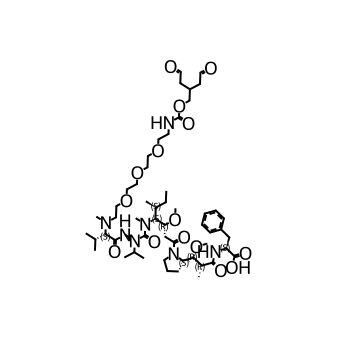 CC[C@H](C)[C@@H]([C@@H](CC(=O)N1CCC[C@H]1[C@H](OC)[C@@H](C)C(=O)N[C@@H](Cc1ccccc1)C(=O)O)OC)N(C)C(=O)N(NC(=O)[C@H](C(C)C)N(C)CCOCCOCCOCCNC(=O)OCC(CC=O)CC=O)C(C)C